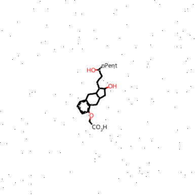 CCCCCC(O)CCC1C(O)CC2Cc3c(cccc3OCC(=O)O)CC21